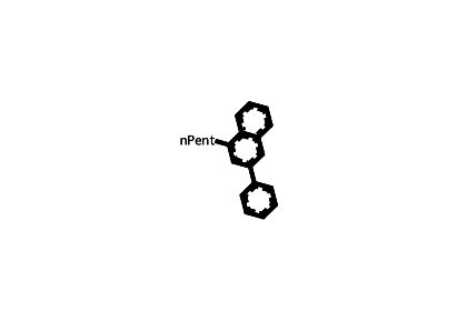 [CH2]CCCCc1cc(-c2ccccc2)cc2ccccc12